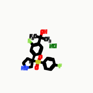 Cl.O=S(=O)(c1ccc(F)cc1)[C@@]1(c2ccc(C(O)(C(F)(F)F)C(F)(F)F)c(F)c2)CCNC1